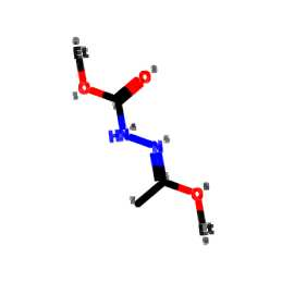 CCOC(=O)N/N=C(\C)OCC